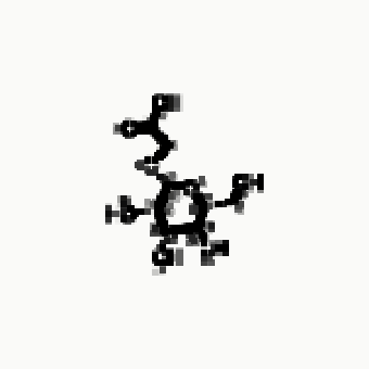 O=C(O)CO[C@@H]1O[C@H](CO)[C@@H](O)[C@H](O)[C@@H]1O